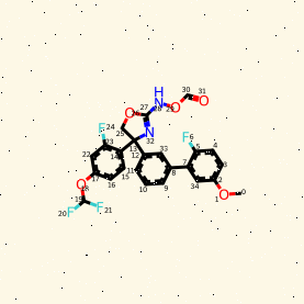 COc1ccc(F)c(-c2cccc(C3(c4ccc(OC(F)F)cc4F)COC(NOC=O)=N3)c2)c1